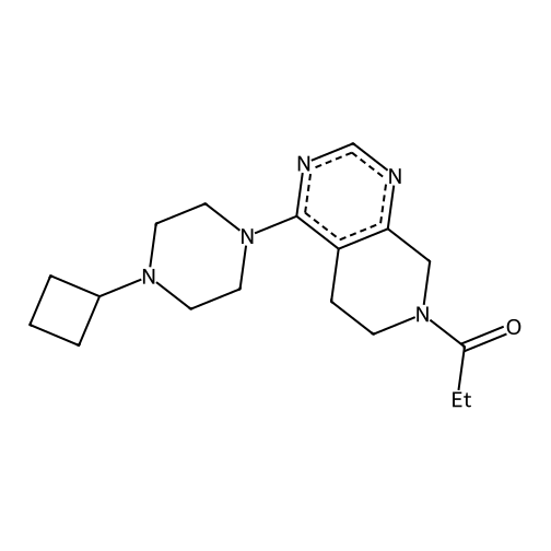 CCC(=O)N1CCc2c(ncnc2N2CCN(C3CCC3)CC2)C1